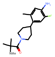 CNC(C)(C)C(=O)N1CCC(c2cc(F)c(N)cc2C)CC1